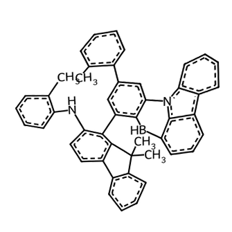 Cc1ccccc1Nc1ccc2c(c1-c1cc(-c3ccccc3C)cc3c1Bc1cccc4c5ccccc5n-3c14)C(C)(C)c1ccccc1-2